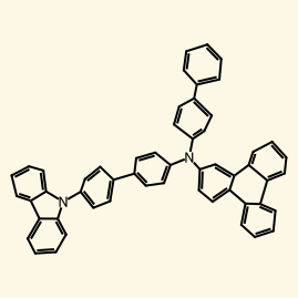 c1ccc(-c2ccc(N(c3ccc(-c4ccc(-n5c6ccccc6c6ccccc65)cc4)cc3)c3ccc4c5ccccc5c5ccccc5c4c3)cc2)cc1